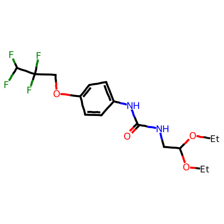 CCOC(CNC(=O)Nc1ccc(OCC(F)(F)C(F)F)cc1)OCC